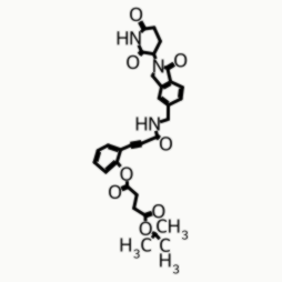 CC(C)(C)OC(=O)CCC(=O)Oc1ccccc1C#CC(=O)NCc1ccc2c(c1)CN(C1CCC(=O)NC1=O)C2=O